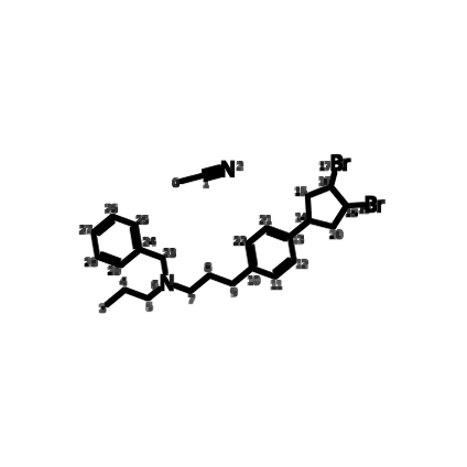 CC#N.CCCN(CCCc1ccc(C2CC(Br)C(Br)C2)cc1)Cc1ccccc1